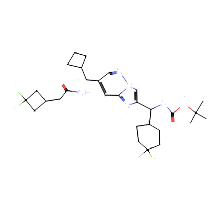 CC(C)(C)OC(=O)NC(c1cn2ncc([C@H](NC(=O)CC3CC(F)(F)C3)C3CCC3)cc2n1)C1CCC(F)(F)CC1